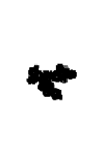 Cc1ccc(S(=O)(=O)n2ccc3c(-c4cn(C)c5ccc(C)cc45)nc(Nc4ccc(N(C)CCN(C)C)c([N+](=O)[O-])c4)nc32)cc1